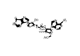 Nc1ncnc2c1ncn2[C@@H]1O[C@H](CO)[C@@H](O)[C@H]1OP(=O)(O)OC[C@H]1OC[C@@H](n2cnc3c(=O)[nH]cnc32)[C@@H]1O